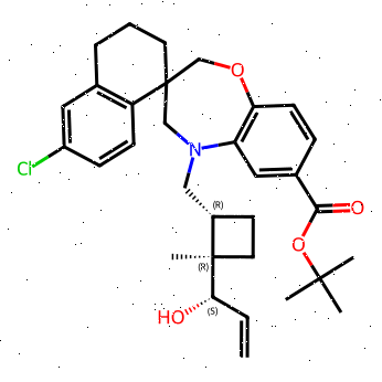 C=C[C@H](O)[C@]1(C)CC[C@H]1CN1CC2(CCCc3cc(Cl)ccc32)COc2ccc(C(=O)OC(C)(C)C)cc21